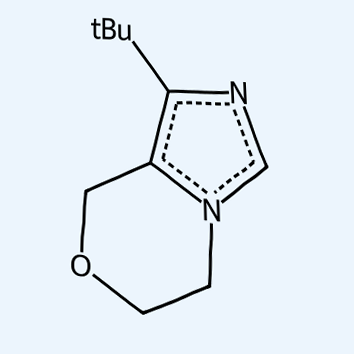 CC(C)(C)c1ncn2c1COCC2